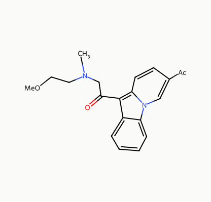 COCCN(C)CC(=O)c1c2ccccc2n2cc(C(C)=O)ccc12